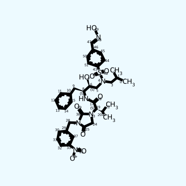 CC(C)CN(C[C@H](O)[C@H](Cc1ccccc1)NC(=O)[C@H](C(C)C)N1CC(=O)N(Cc2cccc([N+](=O)[O-])c2)C1=O)S(=O)(=O)c1ccc(C=NO)cc1